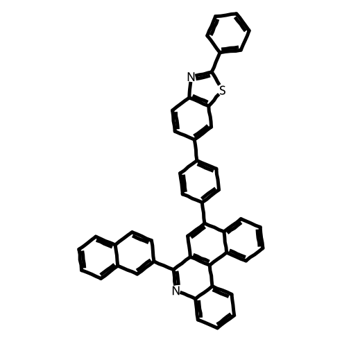 c1ccc(-c2nc3ccc(-c4ccc(-c5cc6c(-c7ccc8ccccc8c7)nc7ccccc7c6c6ccccc56)cc4)cc3s2)cc1